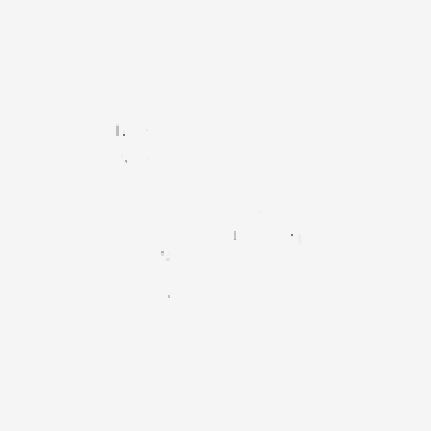 CCCc1nc2c(C)cc(NCC(=O)N3CCCCC3)cc2n1Cc1ccc(-c2ccccc2-c2nnn[nH]2)cc1